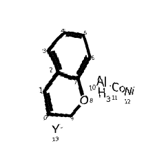 C1=Cc2ccccc2OC1.[AlH3].[Co].[Ni].[Y]